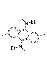 CCN(C)c1c2ccc(C)cc2c(N(C)CC)c2ccc(C)cc12